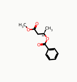 COC(=O)C[C@@H](C)OC(=O)c1ccccc1